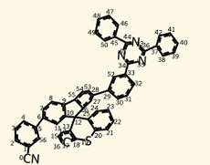 N#Cc1cccc(-c2ccc3c(c2)C2(c4ccccc4Sc4ccccc42)c2cc(-c4cccc(-c5nc(-c6ccccc6)nc(-c6ccccc6)n5)c4)ccc2-3)c1